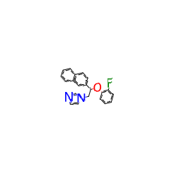 Fc1ccccc1OC(Cn1ccnc1)c1ccc2ccccc2c1